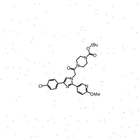 COc1ccc(-c2nc(-c3ccc(Cl)cc3)cn2CC(=O)N2CCN(C(=O)OC(C)(C)C)CC2)cn1